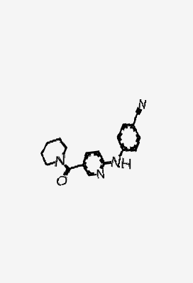 N#Cc1ccc(Nc2ccc(C(=O)N3CCCCC3)cn2)cc1